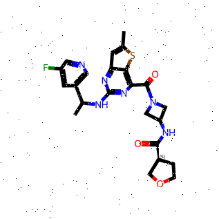 Cc1cc2nc(NC(C)c3cncc(F)c3)nc(C(=O)N3CC(NC(=O)[C@H]4CCOC4)C3)c2s1